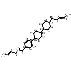 CC=CCOCc1ccc(C2CCC(C3CCC(CC/C=C/C)CC3)CC2)cc1